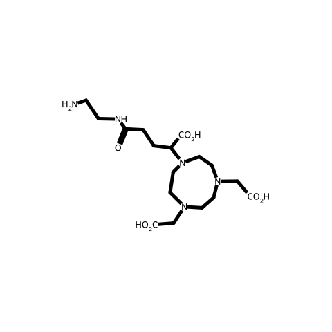 NCCNC(=O)CCC(C(=O)O)N1CCN(CC(=O)O)CCN(CC(=O)O)CC1